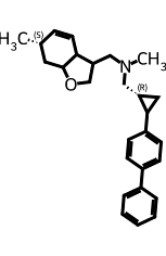 C[C@@H]1C=CC2C(CN(C)C[C@@H]3CC3c3ccc(-c4ccccc4)cc3)COC2C1